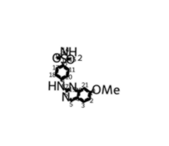 COc1ccc2cnc(Nc3ccc(S(N)(=O)=O)cc3)nc2c1